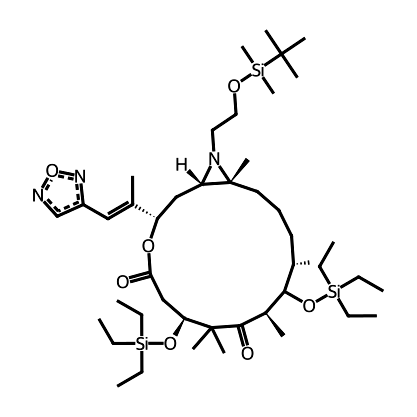 CC[Si](CC)(CC)OC1[C@@H](C)CCC[C@]2(C)[C@H](C[C@@H](/C(C)=C/c3cnon3)OC(=O)C[C@H](O[Si](CC)(CC)CC)C(C)(C)C(=O)[C@@H]1C)N2CCO[Si](C)(C)C(C)(C)C